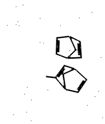 C1=CC2C=CC1C2.O=C(O)C1=CC2C=CC1C2